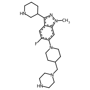 Cn1nc(C2CCCNC2)c2cc(F)c(N3CCC(CN4CCNCC4)CC3)cc21